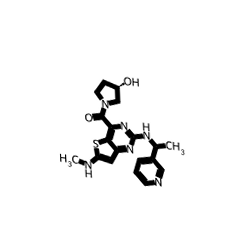 CNc1cc2nc(NC(C)c3cccnc3)nc(C(=O)N3CC[C@H](O)C3)c2s1